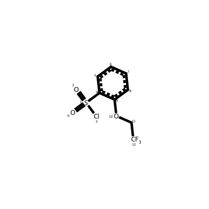 O=S(=O)(Cl)c1ccccc1OCC(F)(F)F